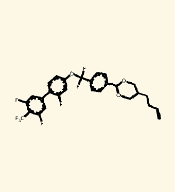 C=CCCC1COC(c2ccc(C(F)(F)Oc3ccc(-c4cc(F)c(C(F)(F)F)c(F)c4)c(F)c3)cc2)OC1